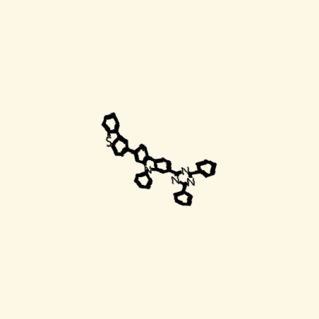 c1ccc(-c2nc(-c3ccccc3)nc(-c3ccc4c5ccc(-c6ccc7sc8ccccc8c7c6)cc5n(-c5ccccc5)c4c3)n2)cc1